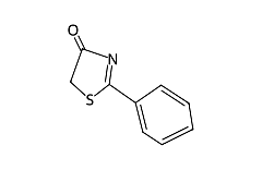 O=C1CSC(c2ccccc2)=N1